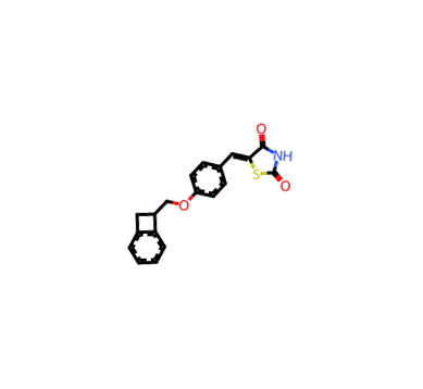 O=C1NC(=O)C(=Cc2ccc(OCC3Cc4ccccc43)cc2)S1